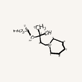 CC(O)(CN1CCCCC1)OS(=O)(=O)O